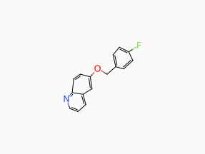 Fc1ccc(COc2ccc3ncccc3c2)cc1